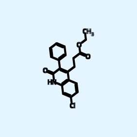 CCOC(=O)CCc1c(-c2ccccc2)c(=O)[nH]c2cc(Cl)ccc12